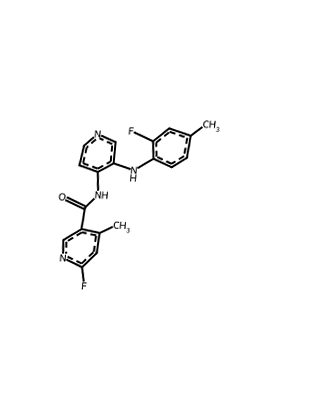 Cc1ccc(Nc2cnccc2NC(=O)c2cnc(F)cc2C)c(F)c1